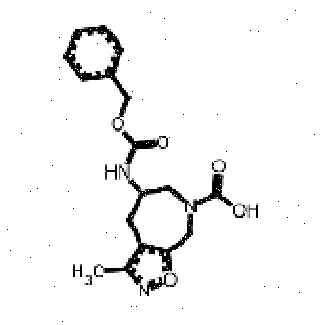 Cc1noc2c1CC(NC(=O)OCc1ccccc1)CN(C(=O)O)C2